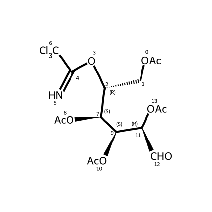 CC(=O)OC[C@@H](OC(=N)C(Cl)(Cl)Cl)[C@H](OC(C)=O)[C@H](OC(C)=O)[C@H](C=O)OC(C)=O